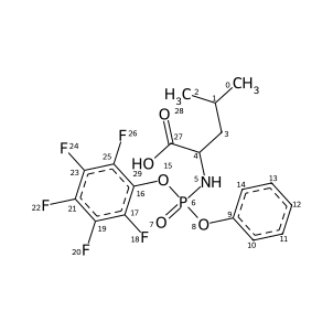 CC(C)CC(NP(=O)(Oc1ccccc1)Oc1c(F)c(F)c(F)c(F)c1F)C(=O)O